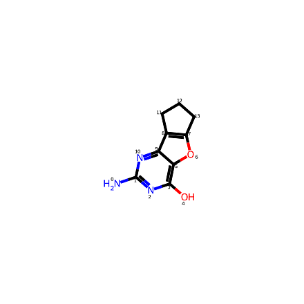 Nc1nc(O)c2oc3c(c2n1)CCC3